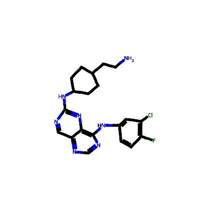 NCCC1CCC(Nc2ncc3ncnc(Nc4ccc(F)c(Cl)c4)c3n2)CC1